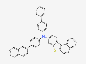 c1ccc(-c2ccc(N(c3ccc(-c4ccc5ccccc5c4)cc3)c3ccc4c(c3)sc3ccc5ccccc5c34)cc2)cc1